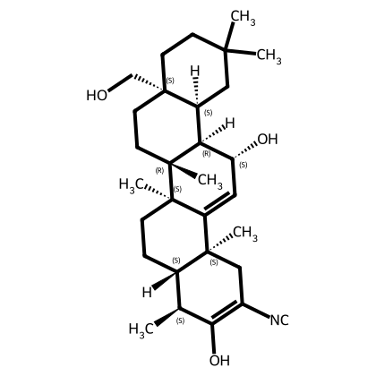 [C-]#[N+]C1=C(O)[C@@H](C)[C@@H]2CC[C@]3(C)C(=C[C@@H](O)[C@@H]4[C@@H]5CC(C)(C)CC[C@]5(CO)CC[C@]43C)[C@@]2(C)C1